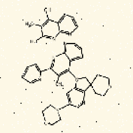 Cc1c(-c2ccccn2)nc2ncccc2c1N1CC2(CCOCC2)c2ncc(N3CCOCC3)cc21.Cc1c(O)nc2ncccc2c1O